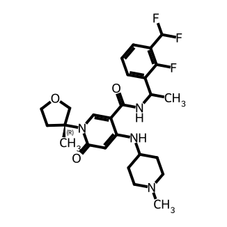 CC(NC(=O)c1cn([C@]2(C)CCOC2)c(=O)cc1NC1CCN(C)CC1)c1cccc(C(F)F)c1F